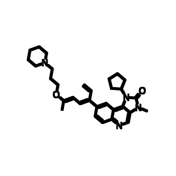 C=C/C(=C\C=C(/C)OCCCN1CCCCC1)c1ccc2ncc3c(c2c1)n(C1CCCC1)c(=O)n3C